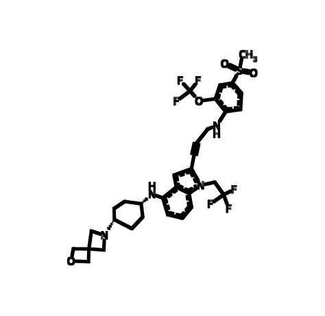 CS(=O)(=O)c1ccc(NCC#Cc2cc3c(N[C@H]4CC[C@@H](N5CC6(COC6)C5)CC4)cccc3n2CC(F)(F)F)c(OC(F)(F)F)c1